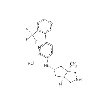 C[C@]12CNC[C@H]1C[C@H](Nc1ccc(-c3cnccc3C(F)(F)F)nn1)C2.Cl